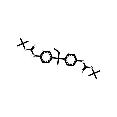 CCC(C)(c1ccc(OC(=O)OC(C)(C)C)cc1)c1ccc(OC(=O)OC(C)(C)C)cc1